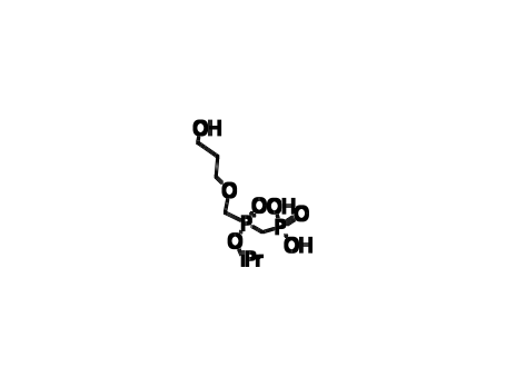 CC(C)OP(=O)(COCCCO)CP(=O)(O)O